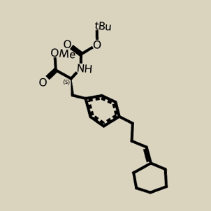 COC(=O)[C@H](Cc1ccc(CCC=C2CCCCC2)cc1)NC(=O)OC(C)(C)C